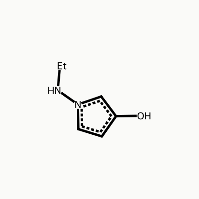 CCNn1ccc(O)c1